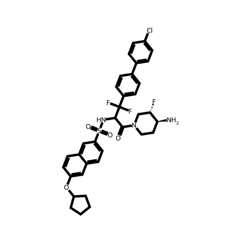 N[C@H]1CCN(C(=O)C(NS(=O)(=O)c2ccc3cc(OC4CCCC4)ccc3c2)C(F)(F)c2ccc(-c3ccc(Cl)cc3)cc2)C[C@@H]1F